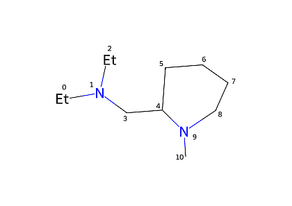 CCN(CC)CC1CCCCN1C